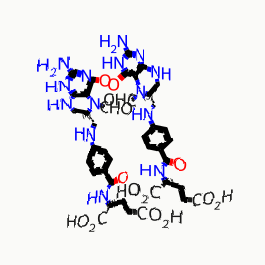 Nc1nc(=O)c2c([nH]1)NC[C@@H](CNc1ccc(C(=O)N[C@H](CCC(=O)O)C(=O)O)cc1)N2C=O.Nc1nc2c(c(=O)[nH]1)N(C=O)[C@@H](CNc1ccc(C(=O)N[C@@H](CCC(=O)O)C(=O)O)cc1)CN2